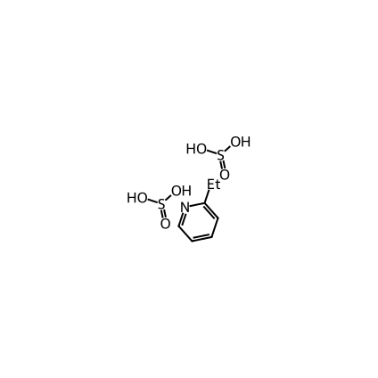 CCc1ccccn1.O=S(O)O.O=S(O)O